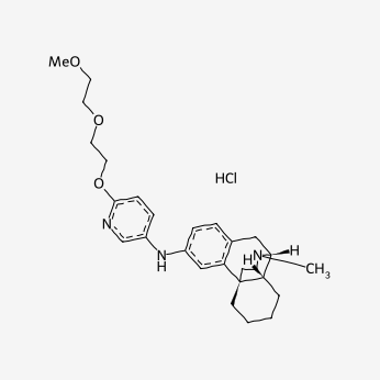 COCCOCCOc1ccc(Nc2ccc3c(c2)[C@@]24CCCC[C@H]2[C@@H](C3)N(C)CC4)cn1.Cl